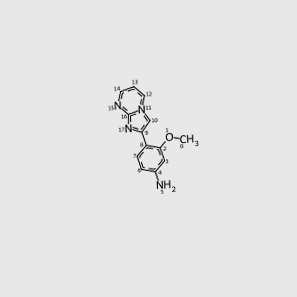 COc1cc(N)ccc1-c1cn2cccnc2n1